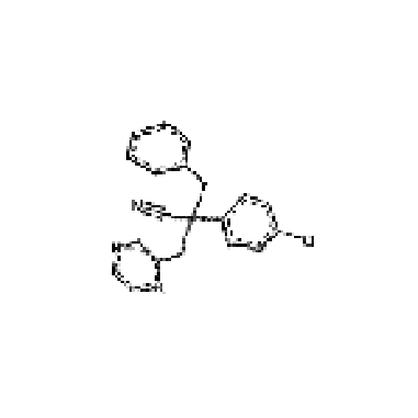 N#CC(Cc1ccccc1)(Cc1cnccn1)c1ccc(Cl)cc1